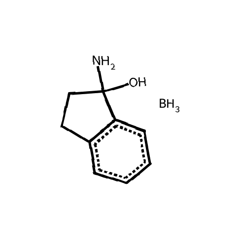 B.NC1(O)CCc2ccccc21